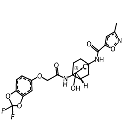 Cc1cc(C(=O)NC23CCC(NC(=O)COc4ccc5c(c4)OC(F)(F)O5)(CC2)[C@@H](O)C3)on1